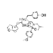 COc1ccc(S(=O)(=O)N(CC(C)C)C[C@@H](O)[C@H](Cc2ccc(O)cc2)NC(=O)O[C@H]2COC3OCCC32)cc1